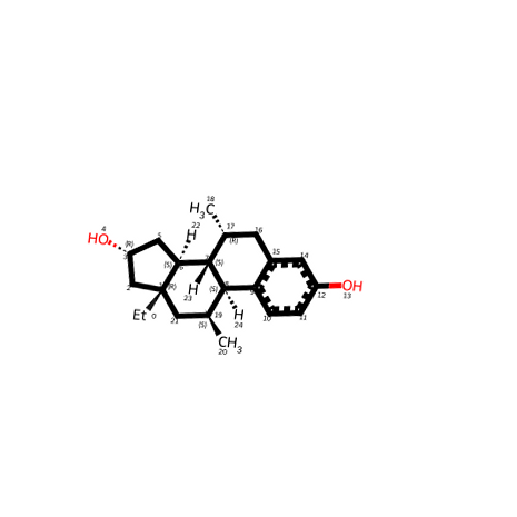 CC[C@@]12C[C@H](O)C[C@H]1[C@H]1[C@@H](c3ccc(O)cc3C[C@H]1C)[C@@H](C)C2